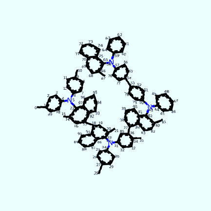 Cc1ccc(N(c2ccc(C)cc2)c2c(C)cc(-c3cc(C)c(N(c4ccc(C)cc4)c4ccc(C)c(-c5cccc6c(N(c7ccccc7)c7ccc(-c8ccc(N(c9ccccc9)c9c(C)ccc%10ccccc9%10)cc8)cc7)c(C)ccc56)c4)c4ccccc34)c3ccccc23)cc1